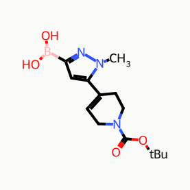 Cn1nc(B(O)O)cc1C1=CCN(C(=O)OC(C)(C)C)CC1